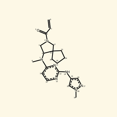 C=CC(=O)N1CC(N(C)c2ccnc(Nc3cnn(C)c3)n2)C2(CCCC2)C1